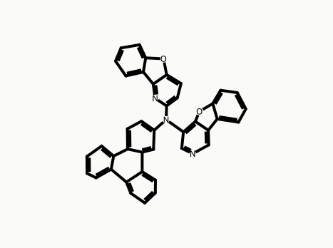 c1ccc2c(c1)oc1c(N(c3ccc4c5ccccc5c5ccccc5c4c3)c3ccc4oc5ccccc5c4n3)cncc12